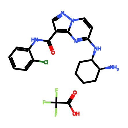 N[C@H]1CCCC[C@H]1Nc1ccn2ncc(C(=O)Nc3ccccc3Cl)c2n1.O=C(O)C(F)(F)F